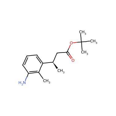 Cc1c(N)cccc1[C@H](C)CC(=O)OC(C)(C)C